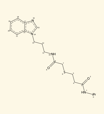 CC(C)NC(=O)CCSCC(=O)NCCCn1cnc2ccccc21